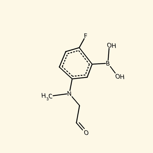 CN(CC=O)c1ccc(F)c(B(O)O)c1